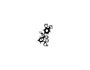 COC(=O)[C@H]1CCCN1C(=O)N(C)c1ccc(Cl)c(Cl)c1